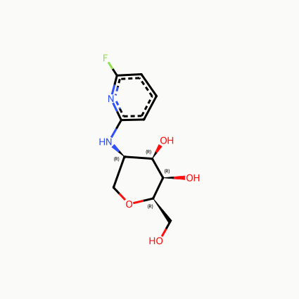 OC[C@H]1OC[C@@H](Nc2cccc(F)n2)[C@@H](O)[C@H]1O